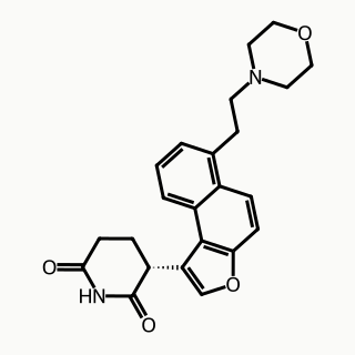 O=C1CC[C@H](c2coc3ccc4c(CCN5CCOCC5)cccc4c23)C(=O)N1